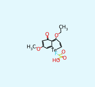 CCOc1cc[te]c2cc(OC)cc(=O)c1-2.O=S(=O)(O)F